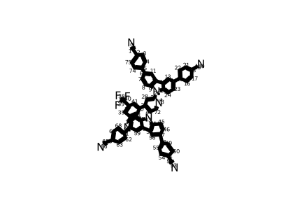 N#Cc1ccc(-c2ccc3c(c2)c2cc(-c4ccc(C#N)cc4)ccc2n3-c2cc(-c3cc(C#N)cc(C(F)(F)F)c3)c(-n3c4ccc(-c5ccc(C#N)cc5)cc4c4cc(-c5ccc(C#N)cc5)ccc43)cn2)cc1